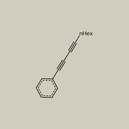 CCCCCCC#CC#Cc1ccccc1